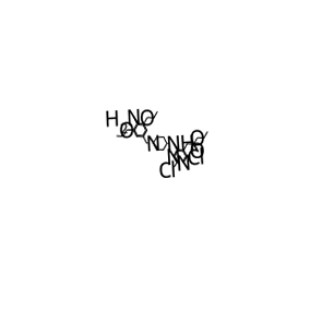 CCOC(=O)Cc1c(Cl)nc(Cl)nc1NC1CCN(Cc2cc(OCC)c(N)c(OCC)c2)CC1